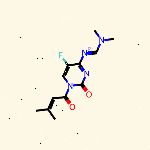 CC(C)=CC(=O)n1cc(F)c(/N=C/N(C)C)nc1=O